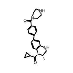 C[C@H]1CNc2cc(-c3ccc(C(=O)N4CCNCC4)cc3)ccc2N1C(=O)C1CC1